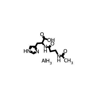 CC(=O)NCCC(=O)NC(Cc1c[nH]cn1)C(=O)O.[AlH3]